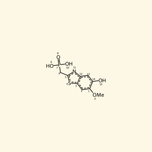 COc1cc2sc(CP(=O)(O)O)nc2cc1O